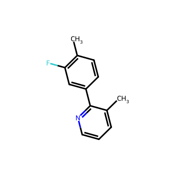 Cc1ccc(-c2ncccc2C)cc1F